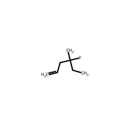 [CH2]C(F)(CC)CC=C